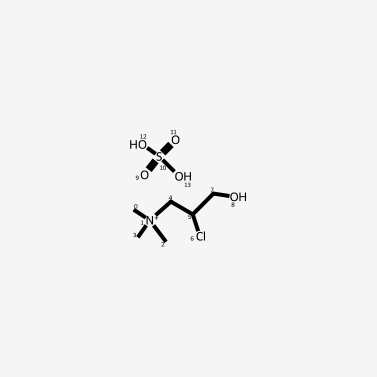 C[N+](C)(C)CC(Cl)CO.O=S(=O)(O)O